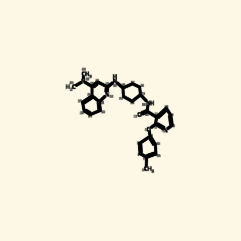 Cc1ccc(Oc2ncccc2C(=O)NC2CCC(Nc3cc(N(C)C)c4ccccc4n3)CC2)cc1